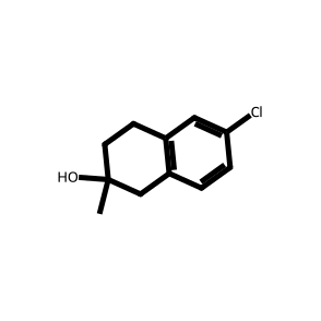 CC1(O)CCc2cc(Cl)ccc2C1